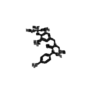 Cc1cc(CN(CC=O)C(=O)N(C)c2ccc(C(F)(F)F)cc2)cc(C)c1OC(C)(C)C(=O)O